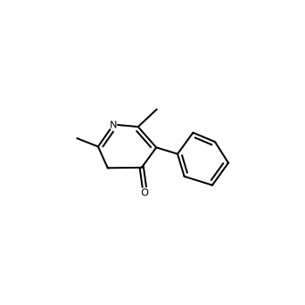 CC1=NC(C)=C(c2ccccc2)C(=O)C1